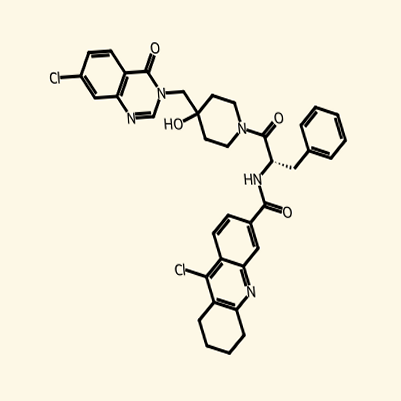 O=C(N[C@@H](Cc1ccccc1)C(=O)N1CCC(O)(Cn2cnc3cc(Cl)ccc3c2=O)CC1)c1ccc2c(Cl)c3c(nc2c1)CCCC3